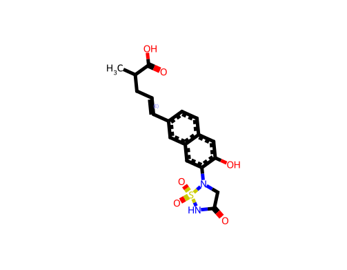 CC(C/C=C/c1ccc2cc(O)c(N3CC(=O)NS3(=O)=O)cc2c1)C(=O)O